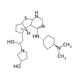 CN(C)[C@H]1CC[C@H](NC2=NCNC3SC4CCC(CC(O)N5CCC(O)C5)[C@H]4C23)CC1